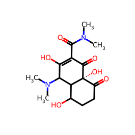 CN(C)C(=O)C1=C(O)C(N(C)C)C2C(O)CCC(=O)[C@]2(O)C1=O